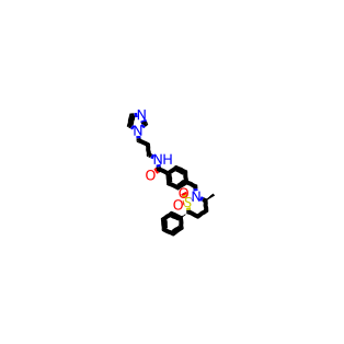 C[C@H]1CC[C@H](c2ccccc2)S(=O)(=O)N1Cc1ccc(C(=O)NCCCn2ccnc2)cc1